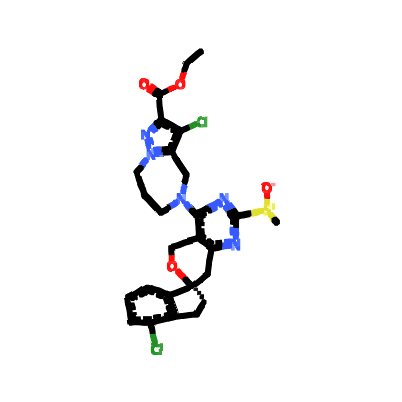 CCOC(=O)c1nn2c(c1Cl)CN(c1nc([S+](C)[O-])nc3c1CO[C@@]1(CCc4c(Cl)cccc41)C3)CCC2